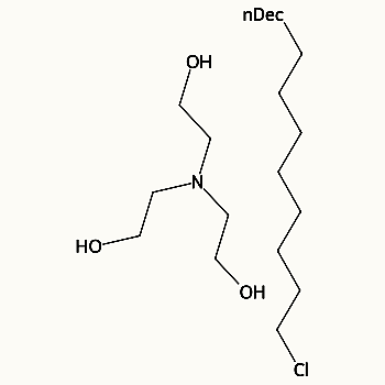 CCCCCCCCCCCCCCCCCCCl.OCCN(CCO)CCO